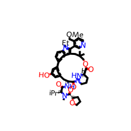 CCn1c(-c2cnccc2COC)c2c3cc(ccc31)-c1cc(O)cc(c1)C[C@H](NC(=O)[C@H](C(C)C)N(C)C(=O)[C@@H]1CCCO1)C(=O)N1CCC[C@H](N1)C(=O)OCC(C)(C)C2